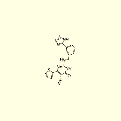 N#Cc1c(-c2cccs2)nc(NCc2cccc(-c3nnn[nH]3)c2)[nH]c1=O